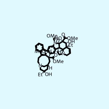 CC[C@]1(O)C[C@@H]2CN(CCc3c([nH]c4ccccc34)[C@@](C(=O)OC)(c3cc4c(cc3OC)N(COC)[C@H]3[C@@](O)(C(=O)OC)[C@H](O)[C@]5(CC)C=CCN6CC[C@]43[C@@H]65)C2)C1